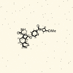 COC1CN(C(=O)c2ccc(Oc3sc(C(N)=O)c4c3-c3sncc3CC4)cn2)C1